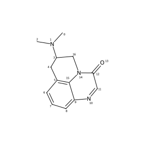 CN(C)C1Cc2cccc3ncc(=O)n(c23)C1